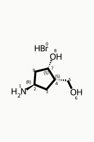 Br.N[C@@H]1C[C@@H](CO)[C@@H](O)C1